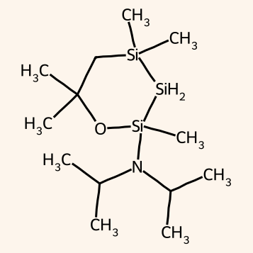 CC(C)N(C(C)C)[Si]1(C)OC(C)(C)C[Si](C)(C)[SiH2]1